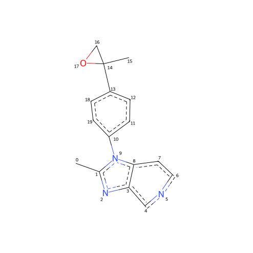 Cc1nc2cnccc2n1-c1ccc(C2(C)CO2)cc1